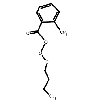 CCCCOOOC(=O)c1ccccc1C